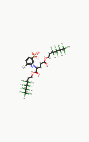 Cc1ccc(S(=O)(=O)O)cc1.NC(CCC(=O)OCCC(F)(F)C(F)(F)C(F)(F)C(F)(F)F)C(=O)OCCC(F)(F)C(F)(F)C(F)(F)C(F)(F)F